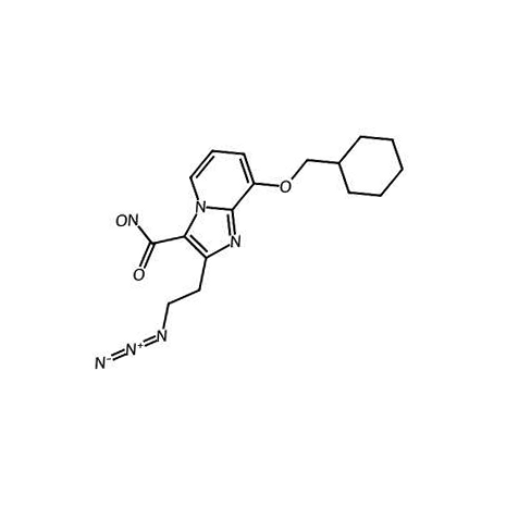 [N-]=[N+]=NCCc1nc2c(OCC3CCCCC3)cccn2c1C(=O)N=O